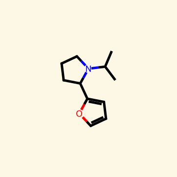 CC(C)N1CCCC1c1ccco1